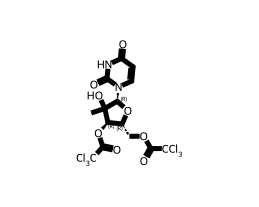 CC1(O)[C@H](OC(=O)C(Cl)(Cl)Cl)[C@@H](COC(=O)C(Cl)(Cl)Cl)O[C@H]1n1ccc(=O)[nH]c1=O